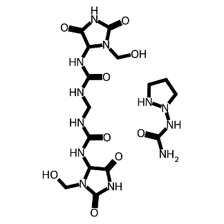 NC(=O)NN1CCCN1.O=C(NCNC(=O)NC1C(=O)NC(=O)N1CO)NC1C(=O)NC(=O)N1CO